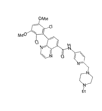 CCN1CCN(Cc2ccc(NC(=O)c3ccc(-c4c(Cl)c(OC)cc(OC)c4Cl)c4nccnc34)cn2)CC1